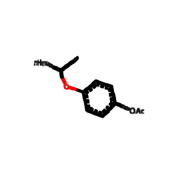 CCCCCCC(C)Oc1ccc(OC(C)=O)cc1